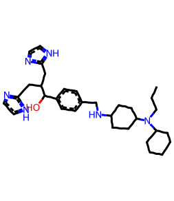 CCCN(C1CCCCC1)C1CCC(NCc2ccc(C(O)C(Cc3ncc[nH]3)Cc3ncc[nH]3)cc2)CC1